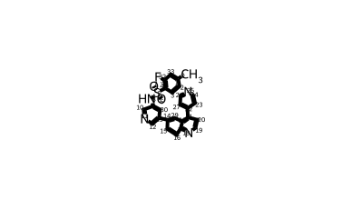 Cc1ccc(S(=O)(=O)Nc2cncc(-c3ccc4nccc(-c5ccncc5)c4c3)c2)c(F)c1